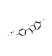 CCOc1ccc2c(N)c(-c3ccc(NP(=O)(OCC)OCC)cc3)n(CC)c2c1